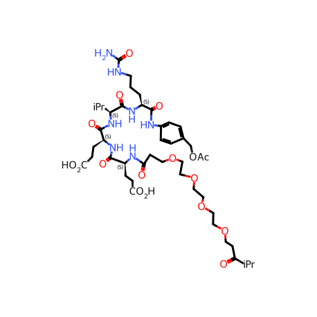 CC(=O)OCc1ccc(NC(=O)[C@H](CCCNC(N)=O)NC(=O)[C@@H](NC(=O)[C@H](CCC(=O)O)NC(=O)[C@H](CCC(=O)O)NC(=O)CCOCCOCCOCCOCCC(=O)C(C)C)C(C)C)cc1